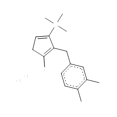 Cc1ccc(CC2=[C]([Ti+3])CC=C2[Si](C)(C)C)cc1C.[Cl-].[Cl-].[Cl-]